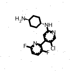 N[C@H]1CC[C@H](Nc2cc(-c3nc(F)ccc3F)c(Cl)cn2)CC1